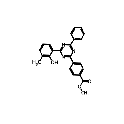 COC(=O)c1ccc(-c2nc(-c3ccccc3)nc(-c3cccc(C)c3O)n2)cc1